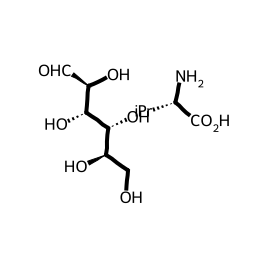 CC(C)[C@H](N)C(=O)O.O=C[C@@H](O)[C@@H](O)[C@H](O)[C@H](O)CO